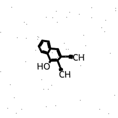 C#Cc1cc2ccccc2c(O)c1C#C